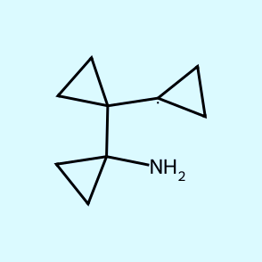 NC1(C2([C]3CC3)CC2)CC1